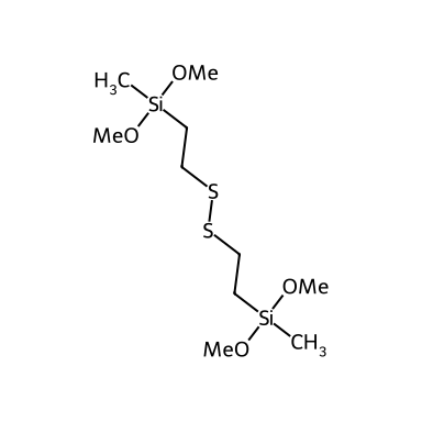 CO[Si](C)(CCSSCC[Si](C)(OC)OC)OC